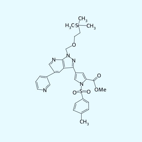 COC(=O)c1cc(-c2nn(COCC[Si](C)(C)C)c3ncc(-c4cccnc4)cc23)cn1S(=O)(=O)c1ccc(C)cc1